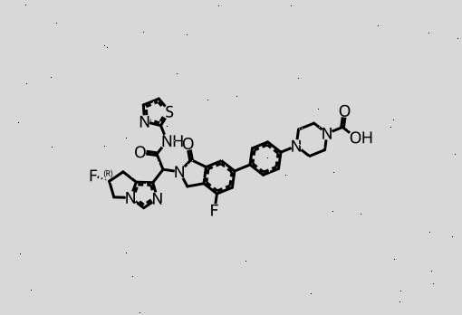 O=C(Nc1nccs1)C(c1ncn2c1C[C@@H](F)C2)N1Cc2c(F)cc(-c3ccc(N4CCN(C(=O)O)CC4)cc3)cc2C1=O